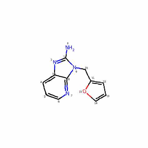 Nc1nc2cccnc2n1Cc1ccco1